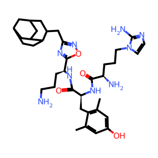 Cc1cc(O)cc(C)c1C[C@H](NC(=O)[C@H](N)CCCn1ccnc1N)C(=O)N[C@@H](CCCN)c1nc(CC2CC3CC4CCC2C(C4)C3)no1